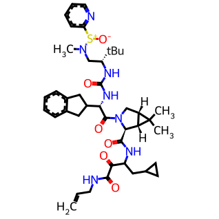 C=CCNC(=O)C(=O)C(CC1CC1)NC(=O)[C@@H]1[C@@H]2[C@H](CN1C(=O)[C@@H](NC(=O)N[C@H](CN(C)[S+]([O-])c1ccccn1)C(C)(C)C)C1Cc3ccccc3C1)C2(C)C